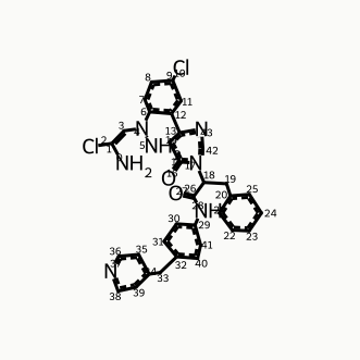 N/C(Cl)=C\N(N)c1ccc(Cl)cc1-c1cc(=O)n(C(Cc2ccccc2)C(=O)Nc2ccc(Cc3ccncc3)cc2)cn1